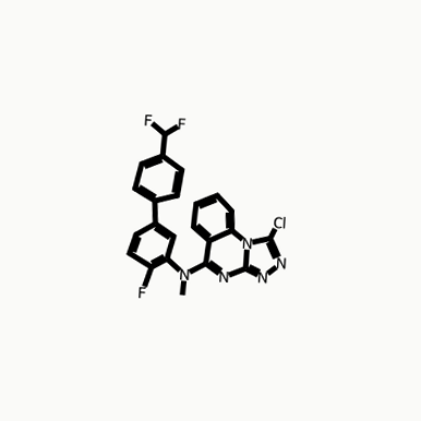 CN(c1cc(-c2ccc(C(F)F)cc2)ccc1F)c1nc2nnc(Cl)n2c2ccccc12